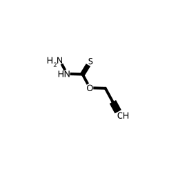 C#CCOC(=S)NN